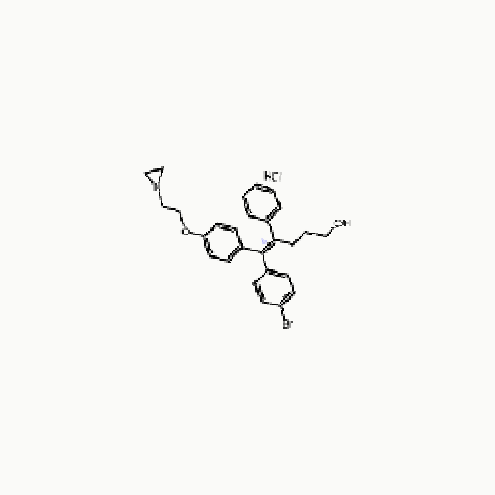 Cl.OCCC/C(=C(\c1ccc(Br)cc1)c1ccc(OCCN2CC2)cc1)c1ccccc1